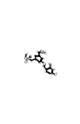 COS(=O)(=O)Cc1cc(CO)cc(OCc2ccc(Cl)cc2Br)c1